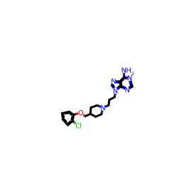 Nc1ncnc2c1ncn2CCCN1CCC(COc2ccccc2Cl)CC1